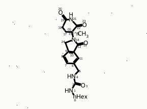 CCCCCCNC(=O)NCc1ccc2c(c1)C(=O)N([C@@]1(C)CCC(=O)NC1=O)C2